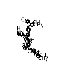 CC(C)OC(=O)N=S1(=O)CCN(C[C@H](C)Nc2ccc(S(=O)(=O)NC(=O)c3ccc(N4CCN(CC5=C(c6ccc(Cl)cc6)CC(C)(C)CC5)CC4)cc3Oc3cnc4[nH]ccc4c3)cc2[N+](=O)[O-])CC1